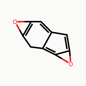 C1=C2C=C3OC3=C2CC2=C1O2